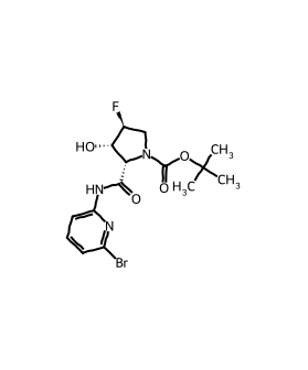 CC(C)(C)OC(=O)N1C[C@H](F)[C@@H](O)[C@H]1C(=O)Nc1cccc(Br)n1